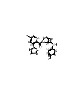 Cc1cnc(C(=O)N2CC3CC(Nc4cnc(C)cn4)C2C3)c(-n2nccn2)c1